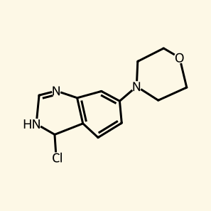 ClC1NC=Nc2cc(N3CCOCC3)ccc21